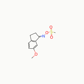 COc1ccc2c(c1)C(=NOS(C)(=O)=O)CC2